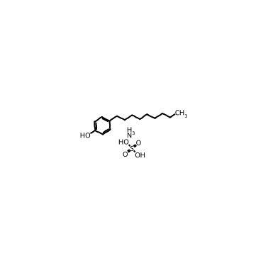 CCCCCCCCCc1ccc(O)cc1.N.O=S(=O)(O)O